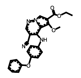 CCOC(=O)c1cn2ncc(C#N)c(Nc3ccc(Oc4ccccc4)cc3)c2c1OC